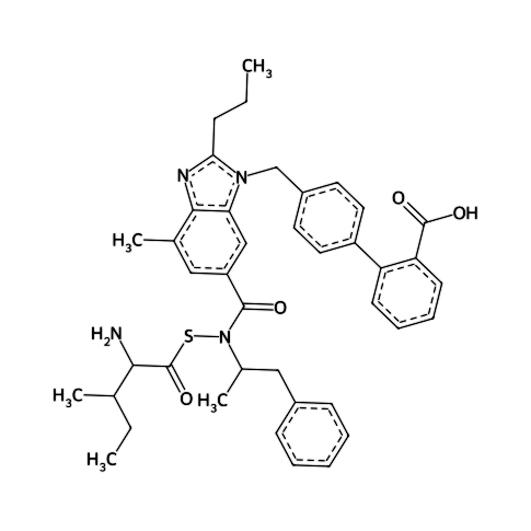 CCCc1nc2c(C)cc(C(=O)N(SC(=O)C(N)C(C)CC)C(C)Cc3ccccc3)cc2n1Cc1ccc(-c2ccccc2C(=O)O)cc1